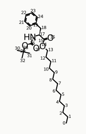 CCCCCCCCCCCCCCOC(=O)[C@H](Cc1ccccc1)NC(=O)OC(C)(C)C